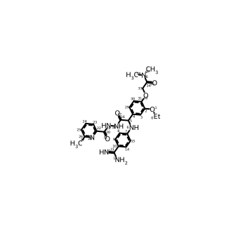 CCOc1cc(C(Nc2ccc(C(=N)N)cc2)C(=O)NNC(=O)c2cccc(C)n2)ccc1OCC(=O)N(C)C